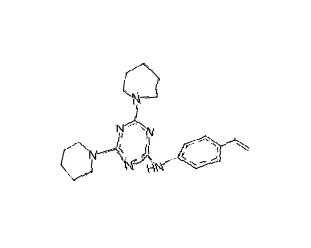 C=Cc1ccc(Nc2nc(N3CCCCC3)nc(N3CCCCC3)n2)cc1